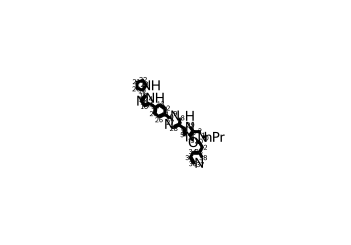 CCCN(Cc1ncc(-c2cnc(-c3ccc(-c4cnc([C@@H]5CCCN5)[nH]4)cc3)nc2)[nH]1)C(=O)Cc1cccnc1